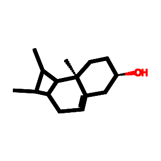 CC1C(C)C2C1CC=C1C[C@@H](O)CC[C@@]12C